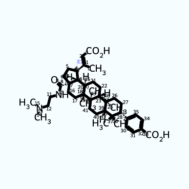 C/C(=C\C(=O)O)[C@@H]1CC[C@]2(C(=O)NCCN(C)C)CC[C@]3(C)[C@H](CC[C@@H]4[C@@]5(C)CC[C@H](c6ccc(C(=O)O)cc6)C(C)(C)[C@@H]5CC[C@]43C)[C@@H]12